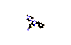 Cc1c(C#N)sc2nc(Cc3ccccc3)nc(N3CCN(C)CC3)c12